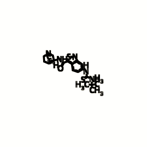 CC(C)(C)NC(=S)Nc1ccc2c(C(=O)N[C@@H]3CN4CCC3CC4)snc2c1